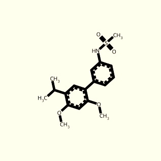 COc1cc(OC)c(C(C)C)cc1-c1cccc(NS(C)(=O)=O)c1